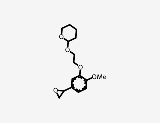 COc1ccc(C2CO2)cc1OCCOC1CCCCO1